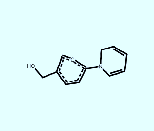 OCc1ccc(N2C=CC=CC2)cc1